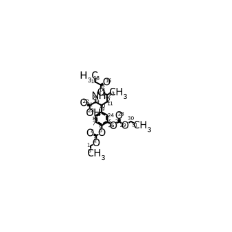 CCOC(=O)Oc1ccc(C(CC(C)OC(=O)CC)[C@H](N)C(=O)O)cc1OC(=O)OCC